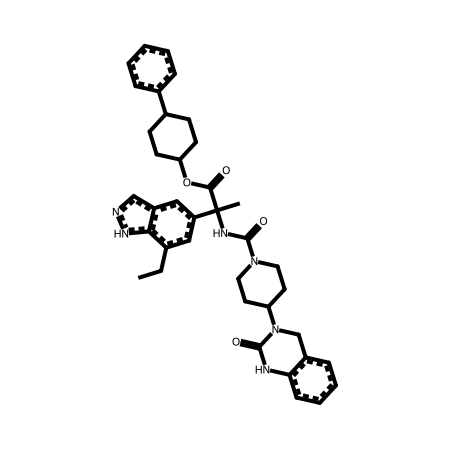 CCc1cc(C(C)(NC(=O)N2CCC(N3Cc4ccccc4NC3=O)CC2)C(=O)OC2CCC(c3ccccc3)CC2)cc2cn[nH]c12